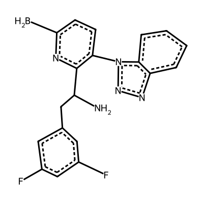 Bc1ccc(-n2nnc3ccccc32)c(C(N)Cc2cc(F)cc(F)c2)n1